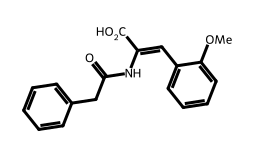 COc1ccccc1C=C(NC(=O)Cc1ccccc1)C(=O)O